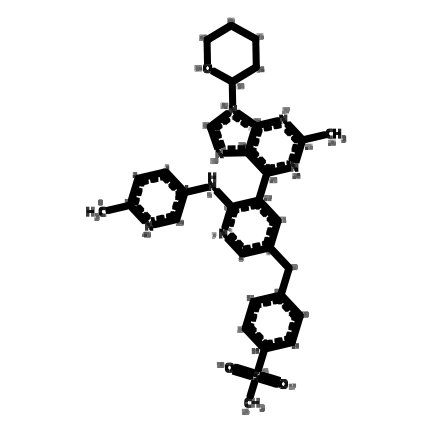 Cc1ccc(Nc2ncc(Cc3ccc(S(C)(=O)=O)cc3)cc2-c2nc(C)nc3c2ncn3C2CCCCO2)cn1